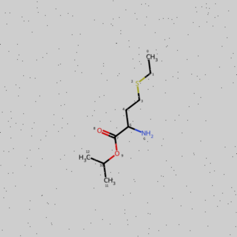 CCSCCC(N)C(=O)OC(C)C